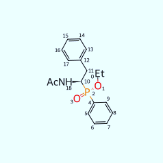 CCO[P@@](=O)(c1ccccc1)[C@H](Cc1ccccc1)NC(C)=O